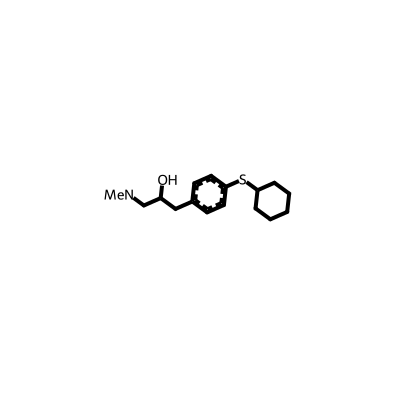 CNCC(O)Cc1ccc(SC2CCCCC2)cc1